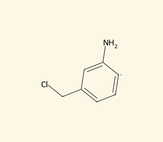 Nc1[c]ccc(CCl)c1